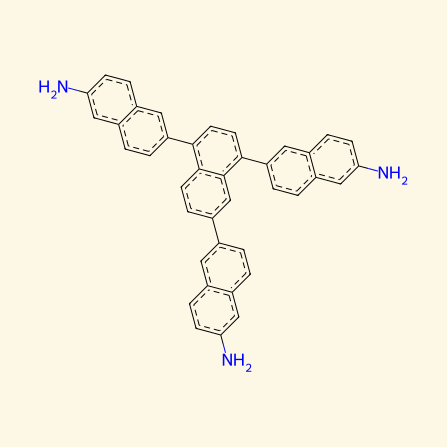 Nc1ccc2cc(-c3ccc4c(-c5ccc6cc(N)ccc6c5)ccc(-c5ccc6cc(N)ccc6c5)c4c3)ccc2c1